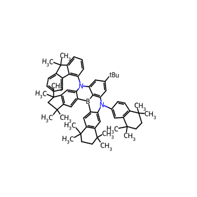 CC(C)(C)c1cc2c3c(c1)N(c1cccc4c1-c1ccccc1C4(C)C)c1cc4c(cc1B3c1cc3c(cc1N2c1ccc2c(c1)C(C)(C)CCC2(C)C)C(C)(C)CCC3(C)C)C(C)(C)CC4(C)C